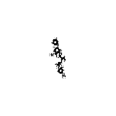 CCOc1ccc(OC(F)(F)C=CC2C(C(=O)OC(C#N)c3cccc(Oc4ccccc4)c3)C2(C)C)c(Cl)c1